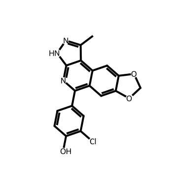 Cc1n[nH]c2nc(-c3ccc(O)c(Cl)c3)c3cc4c(cc3c12)OCO4